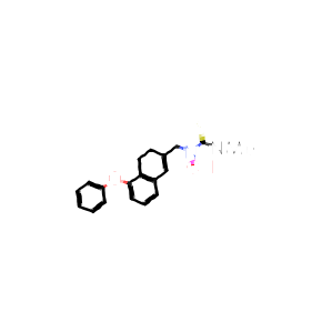 CNC(=S)N(O)CC1=Cc2cccc(Oc3ccccc3)c2CC1